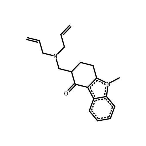 C=CCN(CC=C)CC1CCc2c(c3ccccc3n2C)C1=O